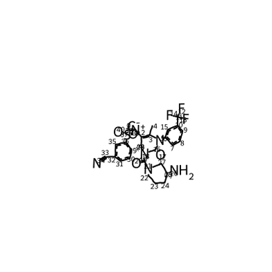 [C-]#[N+]C1=C(C)N(c2cccc(C(F)(F)F)c2)C(=O)N(C(=O)N2CCC[C@@H](N)C2)[C@@H]1c1ccc(C#N)cc1S(C)(=O)=O